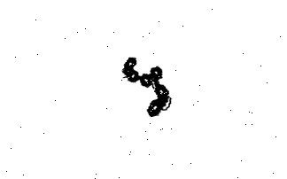 c1ccc2c(c1)oc1ccc(-n3c4ccccc4c4cc(-c5ccc6sc7ccccc7c6c5)ccc43)cc12